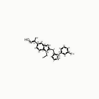 CCn1c(Cc2ccnn2-c2cccc(F)c2)nc2cc(/C(C)=N/O)ccc21